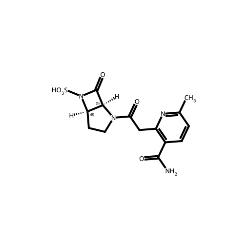 Cc1ccc(C(N)=O)c(CC(=O)N2CC[C@@H]3[C@H]2C(=O)N3S(=O)(=O)O)n1